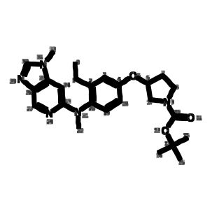 CCc1cc(OC2CCN(C(=O)OC(C)(C)C)C2)ccc1N(C)c1cc2c(cn1)ncn2C